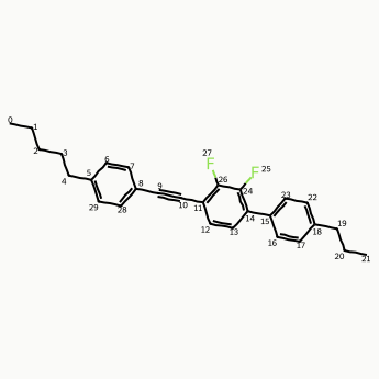 CCCCCc1ccc(C#Cc2ccc(-c3ccc(CCC)cc3)c(F)c2F)cc1